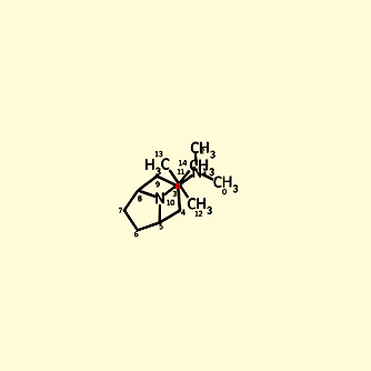 CN(C)C1CC2CCC(C1)N2C(C)(C)C